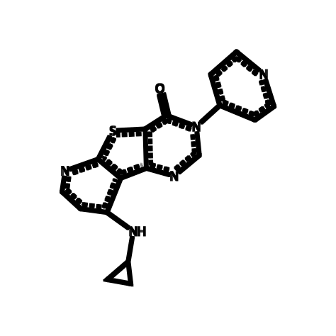 O=c1c2sc3nccc(NC4CC4)c3c2ncn1-c1ccncc1